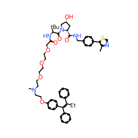 CC/C(=C(\c1ccccc1)c1ccc(OCCN(C)CCOCCOCCOCC(=O)NC(C(=O)N2C[C@H](O)C[C@H]2C(=O)NCc2ccc(-c3scnc3C)cc2)C(C)(C)C)cc1)c1ccccc1